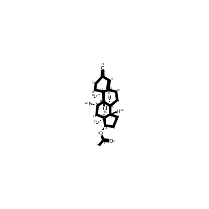 CC(=O)O[C@H]1CC[C@H]2[C@@H]3CCC4=CC(=O)CC[C@]4(C)[C@@]3(Cl)[C@@H](F)C[C@]12C